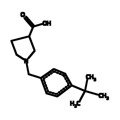 CC(C)(C)c1ccc(CN2CCC(C(=O)O)C2)cc1